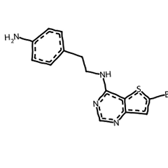 Nc1ccc(CCNc2ncnc3cc(Br)sc23)cc1